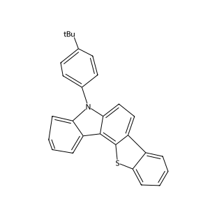 CC(C)(C)c1ccc(-n2c3ccccc3c3c4sc5ccccc5c4ccc32)cc1